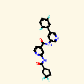 O=C(Nc1cncc(-c2cc(F)ccc2F)c1)c1ccnc(NC(=O)C2CCC(F)(F)C2)c1